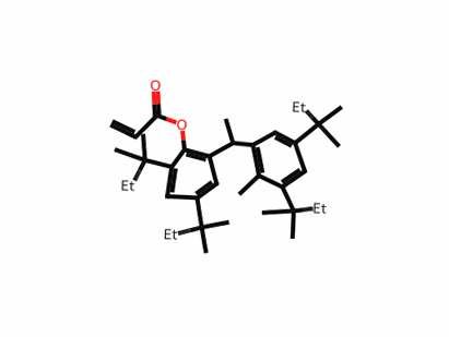 C=CC(=O)Oc1c(C(C)c2cc(C(C)(C)CC)cc(C(C)(C)CC)c2C)cc(C(C)(C)CC)cc1C(C)(C)CC